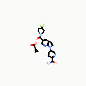 NC(=O)c1ccc(-n2ccc3cc(C(=O)N4CCC(F)(F)CC4)cnc32)cn1.O=C(O)C1CC1